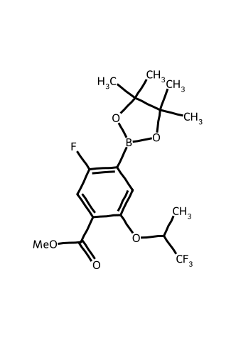 COC(=O)c1cc(F)c(B2OC(C)(C)C(C)(C)O2)cc1OC(C)C(F)(F)F